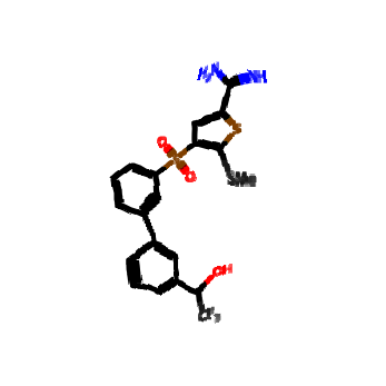 CSc1sc(C(=N)N)cc1S(=O)(=O)c1cccc(-c2cccc(C(O)C(F)(F)F)c2)c1